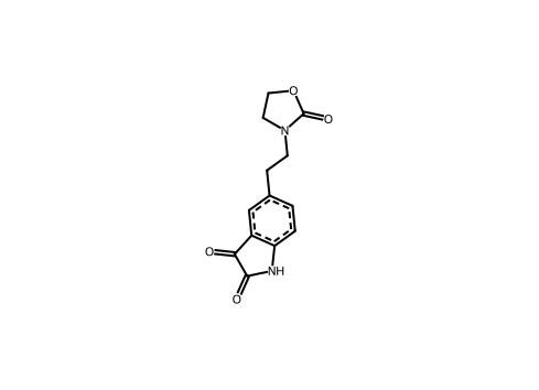 O=C1Nc2ccc(CCN3CCOC3=O)cc2C1=O